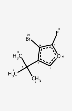 CC(C)(C)c1coc(F)c1Br